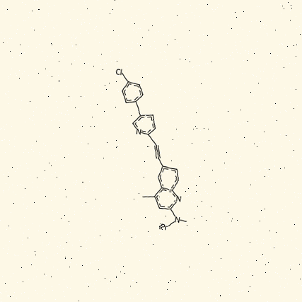 Cc1cc(N(C)C(C)C)nc2ccc(C#Cc3ccc(-c4ccc(Cl)cc4)cn3)cc12